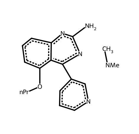 CCCOc1cccc2nc(N)nc(-c3cccnc3)c12.CNC